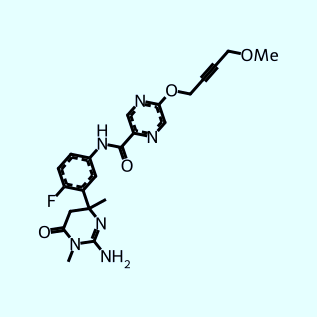 COCC#CCOc1cnc(C(=O)Nc2ccc(F)c(C3(C)CC(=O)N(C)C(N)=N3)c2)cn1